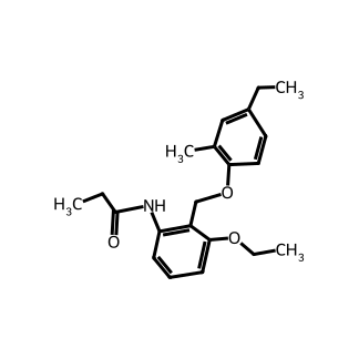 CCOc1cccc(NC(=O)CC)c1COc1ccc(CC)cc1C